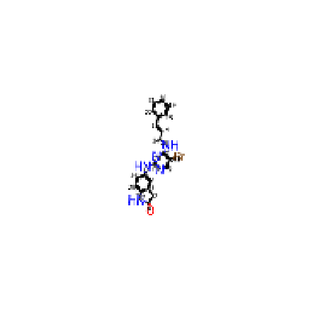 O=C1Cc2cc(Nc3ncc(Br)c(NCC=Cc4ccccc4)n3)ccc2N1